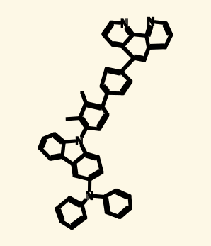 Cc1c(-c2ccc(-c3cc4cccnc4c4ncccc34)cc2)ccc(-n2c3ccccc3c3cc(N(c4ccccc4)c4ccccc4)ccc32)c1C